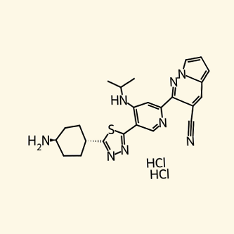 CC(C)Nc1cc(-c2nn3cccc3cc2C#N)ncc1-c1nnc([C@H]2CC[C@H](N)CC2)s1.Cl.Cl